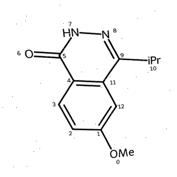 COc1ccc2c(=O)[nH]nc(C(C)C)c2c1